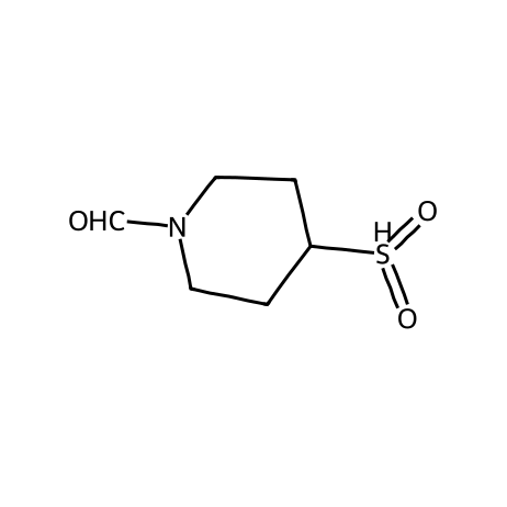 O=CN1CCC([SH](=O)=O)CC1